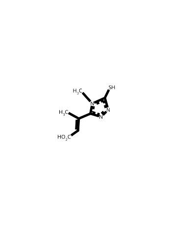 CC(=CC(=O)O)c1nnc(S)n1C